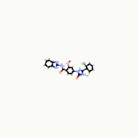 COc1cc(-n2nc(-c3c(F)cccc3Cl)[nH]c2=O)ccc1C(=O)Nc1nc2ccccc2[nH]1